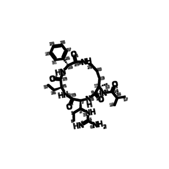 CCC(NC(=N)N)[C@@H]1NC(=O)[C@](C)(NC(=O)C(C)C)CCCNC(=O)[C@@H](c2ccccc2)NC(=O)[C@H](CC)NC1=O